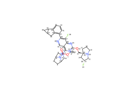 CC(C)(C)OC(=O)N1C2CCC1CN(c1nc(OC[C@@]34CCCN3C[C@H](F)C4)nc3c(F)c(-c4cccc5c4CC4CC54)ncc13)C2